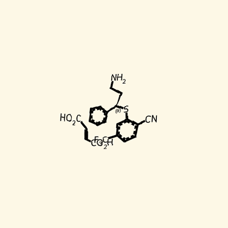 N#Cc1ccc(C(F)(F)F)cc1S[C@H](CCN)c1ccccc1.O=C(O)C=CC(=O)O